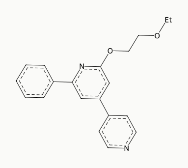 CCOCCOc1cc(-c2ccncc2)cc(-c2ccccc2)n1